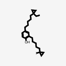 CCC1(CCCCCc2ccc(O)c(CCCCCC3(I)CC3)c2)CC1